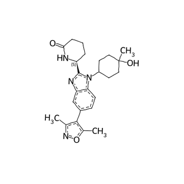 Cc1noc(C)c1-c1ccc2c(c1)nc([C@@H]1CCCC(=O)N1)n2C1CCC(C)(O)CC1